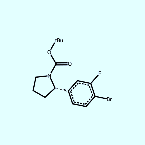 CC(C)(C)OC(=O)N1CCC[C@H]1c1ccc(Br)c(F)c1